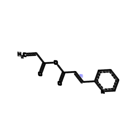 C=CC(=O)OC(=O)/C=C/c1ccccn1